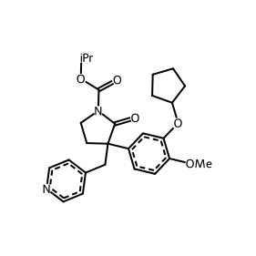 COc1ccc(C2(Cc3ccncc3)CCN(C(=O)OC(C)C)C2=O)cc1OC1CCCC1